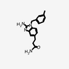 Cc1cccc(Cn2c(N)nc3cc(CCC(N)=O)ccc32)c1